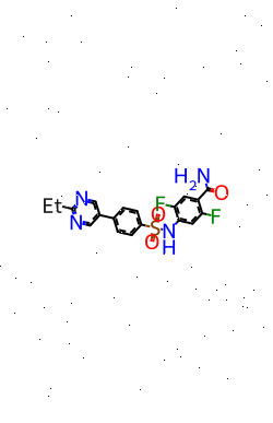 CCc1ncc(-c2ccc(S(=O)(=O)Nc3cc(F)c(C(N)=O)cc3F)cc2)cn1